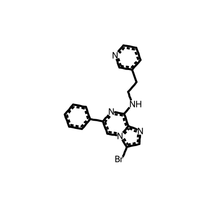 Brc1cnc2c(NCCc3cccnc3)nc(-c3ccccc3)cn12